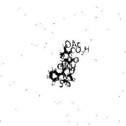 CC(=O)OCC1=C(C(=O)O)N2C(=O)[C@@H](NC(=O)C(c3ccccc3)N3C(=O)CSC3=S)[C@H]2SC1